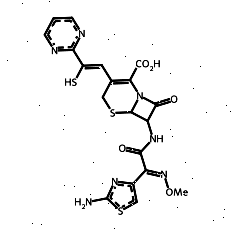 CON=C(C(=O)NC1C(=O)N2C(C(=O)O)=C(C=C(S)c3ncccn3)CSC12)c1csc(N)n1